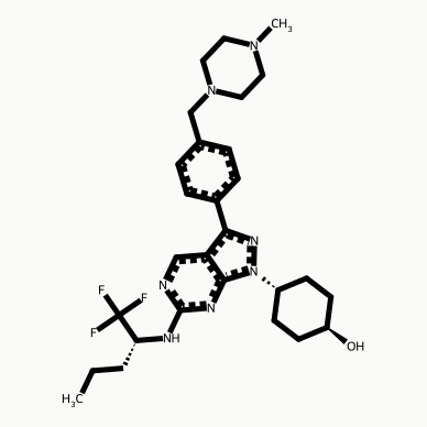 CCC[C@@H](Nc1ncc2c(-c3ccc(CN4CCN(C)CC4)cc3)nn([C@H]3CC[C@H](O)CC3)c2n1)C(F)(F)F